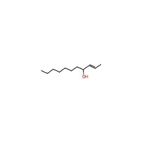 CC=CC(O)CCCCCCC